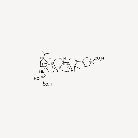 C=C(C)[C@@H]1CC[C@]2(NC[C@H](O)C(=O)O)CC[C@]3(C)[C@H](CC[C@@H]4[C@@]5(C)CC=C(C6=CC[C@](C)(C(=O)O)CC6)C(C)(C)[C@@H]5CC[C@]43C)[C@@H]12